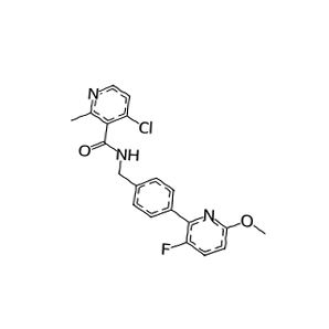 COc1ccc(F)c(-c2ccc(CNC(=O)c3c(Cl)ccnc3C)cc2)n1